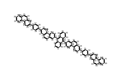 c1ccc2c(-c3cnc4c(ccc5cc(-c6ccc(-c7cnc8c(ccc9nccnc98)n7)cc6)cnc54)c3)c3ccccc3c(-c3cnc4c(ccc5cc(-c6ccc(-c7cnc8c(ccc9nccnc98)n7)cc6)cnc54)c3)c2c1